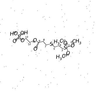 CO[Si](CCCSCCC(=O)OCCOP(=O)(O)O)(OC)OC